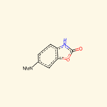 CNc1ccc2[nH]c(=O)oc2c1